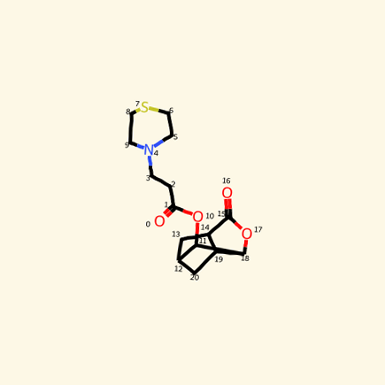 O=C(CCN1CCSCC1)OC1C2CC3C(=O)OC1C3C2